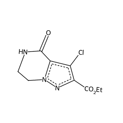 CCOC(=O)c1nn2c(c1Cl)C(=O)NCC2